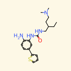 CCC(CCN(C)C)CNC(=O)Nc1cc(-c2cccs2)ccc1N